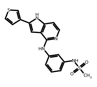 CS(=O)(=O)Nc1cccc(Nc2nccc3[nH]c(-c4ccsc4)cc23)c1